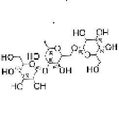 C[C@H]1OC(CO[C@H]2OC(CO)[C@@H](O)[C@H](O)C2O)[C@@H](O)[C@H](O[C@H]2OC(CO)[C@@H](O)[C@H](O)C2O)C1O